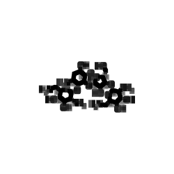 NC[C@H]1O[C@H](O[C@H]2[C@@H](O)[C@H](O[C@@H]3[C@@H](O)[C@H](O)C[C@H](N)[C@H]3O[C@H]3O[C@H](CN)[C@@H](O)[C@H](O)[C@H]3N)O[C@@H]2CO)[C@@H](N)[C@H](O)[C@H]1O